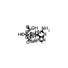 Nc1nc2nc[nH]c2c(=S)[nH]1.O=P(O)(O)OP(=O)(O)OP(=O)(O)O